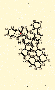 C1=C(c2cccc3c4ccccc4n(-c4ccccc4)c23)N=C(c2ccc3oc4cc5ccccc5cc4c3c2-n2c3ccccc3c3cc4ccccc4cc32)N[C@@H]1c1ccc2ccccc2c1